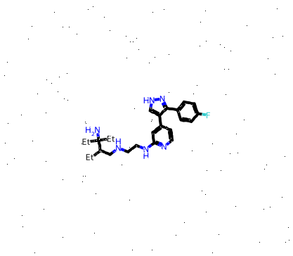 CCC(CNCCNc1cc(-c2c[nH]nc2-c2ccc(F)cc2)ccn1)C(N)(CC)CC